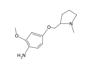 COc1cc(OCC2CCCN2C)ccc1N